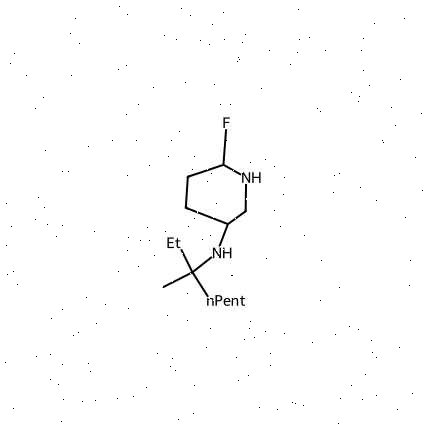 CCCCCC(C)(CC)NC1CCC(F)NC1